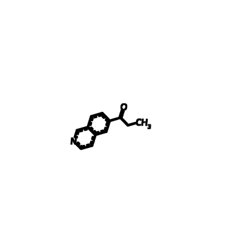 CCC(=O)c1ccc2cnccc2c1